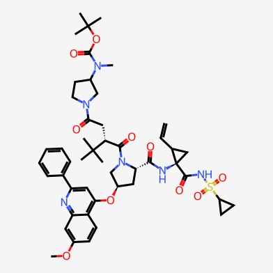 C=CC1C[C@]1(NC(=O)[C@@H]1C[C@@H](Oc2cc(-c3ccccc3)nc3cc(OC)ccc23)CN1C(=O)[C@@H](CC(=O)N1CCC(N(C)C(=O)OC(C)(C)C)C1)C(C)(C)C)C(=O)NS(=O)(=O)C1CC1